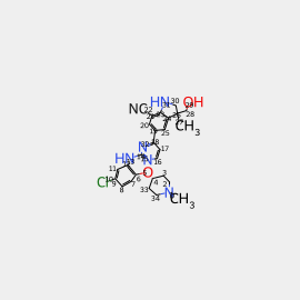 CN1CCC(Oc2ccc(Cl)cc2Nc2nccc(-c3cc(C#N)c4c(c3)C(C)(CO)CN4)n2)CC1